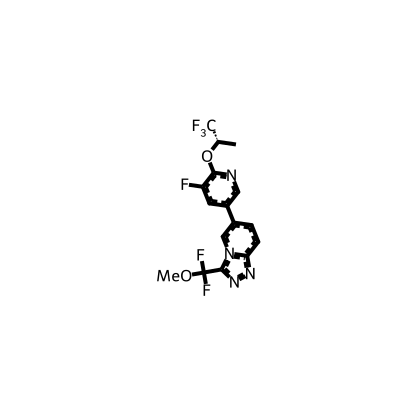 COC(F)(F)c1nnc2ccc(-c3cnc(O[C@@H](C)C(F)(F)F)c(F)c3)cn12